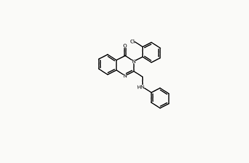 O=c1c2ccccc2nc(CNc2ccccc2)n1-c1ccccc1Cl